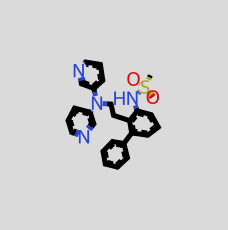 CS(=O)(=O)Nc1cccc(-c2ccccc2)c1CCN(c1cccnc1)c1cccnc1